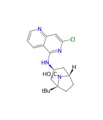 CC(C)(C)[C@@]12CC[C@@H](C[C@H](Nc3nc(Cl)cc4ncccc34)C1)N2C(=O)O